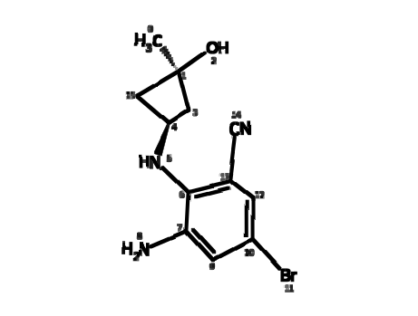 C[C@]1(O)C[C@@H](Nc2c(N)cc(Br)cc2C#N)C1